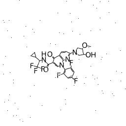 COC1CN(c2ccc3c(=O)c(C(=O)NC(C4CC4)C(F)(F)F)cn(-c4c(F)cc(F)cc4F)c3n2)CC1O